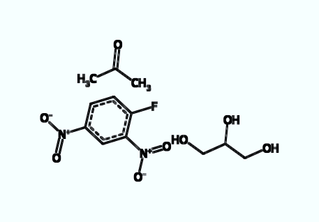 CC(C)=O.O=[N+]([O-])c1ccc(F)c([N+](=O)[O-])c1.OCC(O)CO